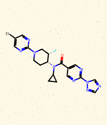 CCc1cnc(N2CC[C@@H](N(C(=O)c3cnc(-n4cncn4)nc3)C3CC3)[C@@H](F)C2)nc1